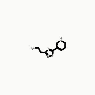 CCCc1nsc(C2=CCCNC2)n1